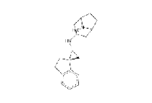 CN1C2CCC1CC(N[C@@H]1C[C@@]13CCc1ccccc13)C2